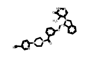 Cc1c(N2Cc3ccccc3[C@@H]2COc2cccc(C(=O)N3CCN(c4ccc(C#N)cn4)CC3)c2)cn[nH]c1=O